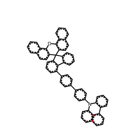 c1ccc(-c2ccccc2N(c2ccccc2)c2ccc(-c3ccc(-c4cccc5c4-c4ccccc4C54c5ccc6ccccc6c5Oc5c4ccc4ccccc54)cc3)cc2)cc1